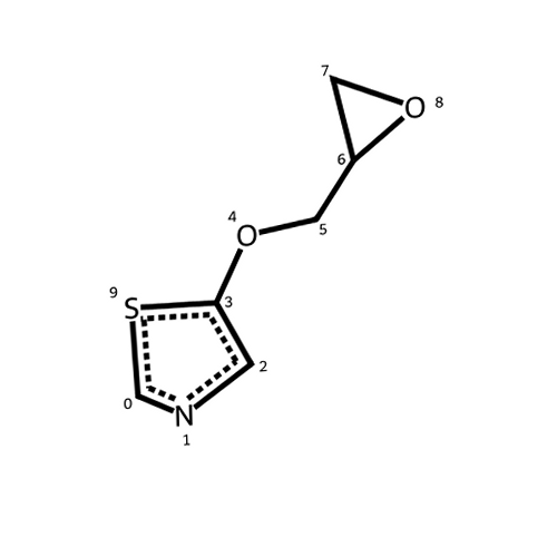 c1ncc(OCC2CO2)s1